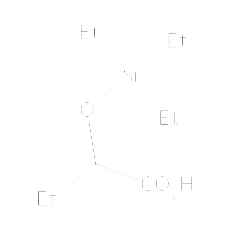 CCC(O[Si](CC)(CC)CC)C(=O)O